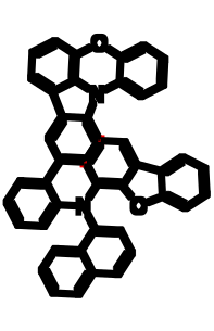 c1ccc2c(c1)Oc1cccc3c4cc(-c5ccccc5N(c5cccc6ccccc56)c5cccc6c5oc5ccccc56)ccc4n-2c13